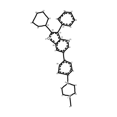 CN1CCN(c2ccc(-c3cnc4c(-c5ccccc5)c(C5CCCCC5)oc4c3)cc2)CC1